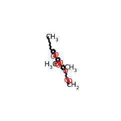 C=CC(=O)OCCCCOc1ccc(C(=O)Oc2ccc(C(=O)Oc3ccc(CCCCCCCC)cc3)cc2OC)cc1C